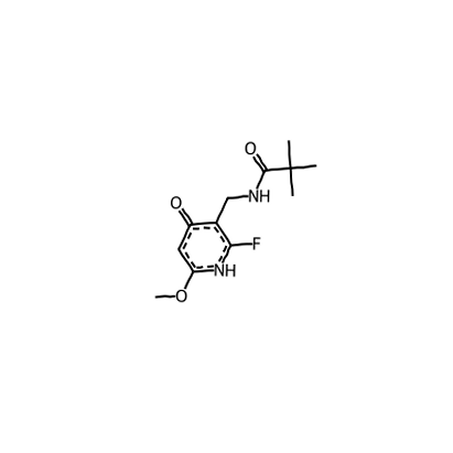 COc1cc(=O)c(CNC(=O)C(C)(C)C)c(F)[nH]1